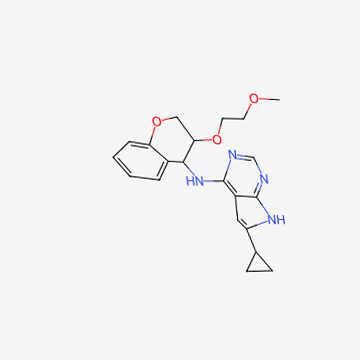 COCCOC1COc2ccccc2C1Nc1ncnc2[nH]c(C3CC3)cc12